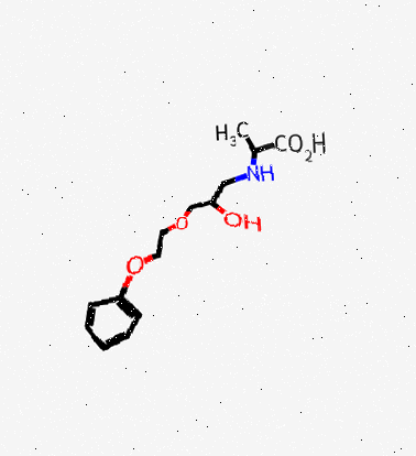 CC(NCC(O)COCCOc1ccccc1)C(=O)O